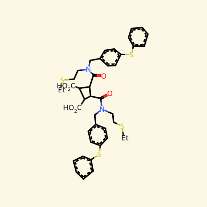 CCSCCN(Cc1ccc(Sc2ccccc2)cc1)C(=O)C1C(C(=O)O)C(C(=O)O)C1C(=O)N(CCSCC)Cc1ccc(Sc2ccccc2)cc1